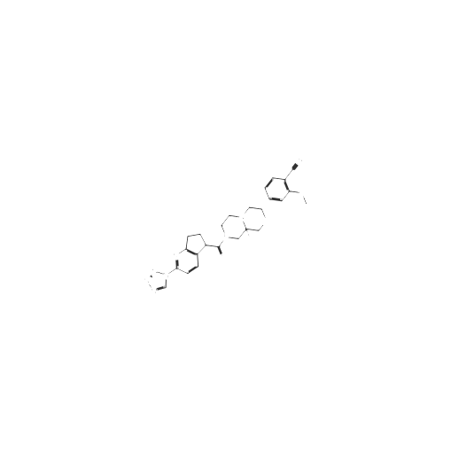 COc1cc([C@H]2CN3CCN(C(=O)C4CCc5nc(-n6cnnn6)ccc54)C[C@H]3CO2)ccc1C#N